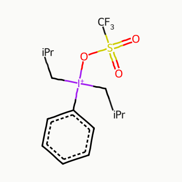 CC(C)C[I+](CC(C)C)(OS(=O)(=O)C(F)(F)F)c1ccccc1